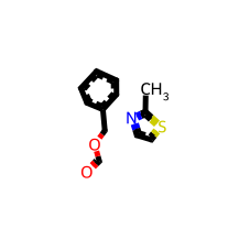 Cc1nccs1.O=COCc1ccccc1